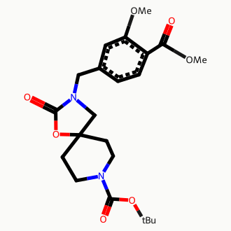 COC(=O)c1ccc(CN2CC3(CCN(C(=O)OC(C)(C)C)CC3)OC2=O)cc1OC